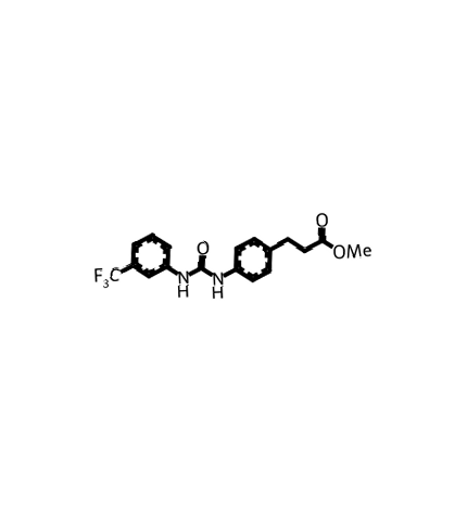 COC(=O)CCc1ccc(NC(=O)Nc2cccc(C(F)(F)F)c2)cc1